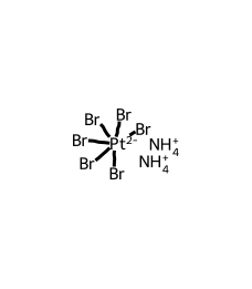 [Br][Pt-2]([Br])([Br])([Br])([Br])[Br].[NH4+].[NH4+]